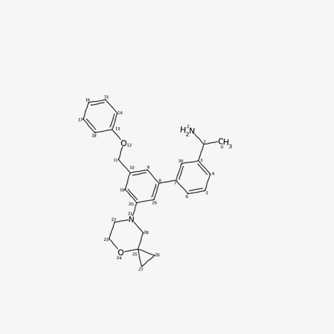 CC(N)c1cccc(-c2cc(COc3ccccc3)cc(N3CCOC4(CC4)C3)c2)c1